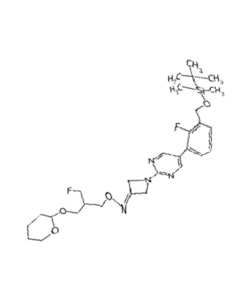 CC(C)(C)[Si](C)(C)OCc1cccc(-c2cnc(N3CC(=NOCC(CF)COC4CCCCO4)C3)nc2)c1F